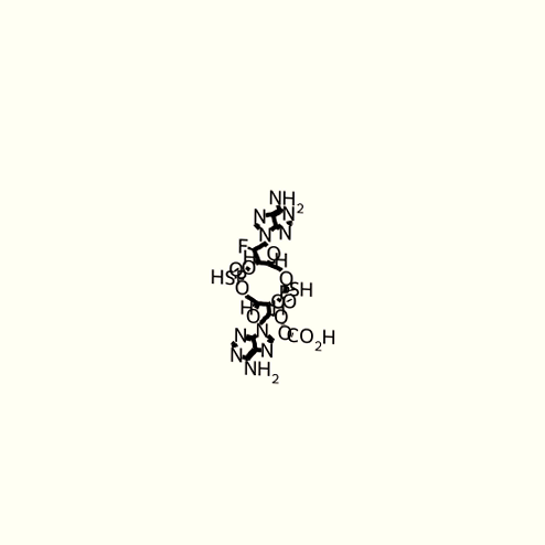 Nc1ncnc2c1ncn2[C@@H]1O[C@@H]2CO[P@@](=O)(S)O[C@H]3[C@@H](OOC(=O)O)[C@H](n4cnc5c(N)ncnc54)O[C@@H]3CO[P@@](=O)(S)O[C@H]2[C@H]1F